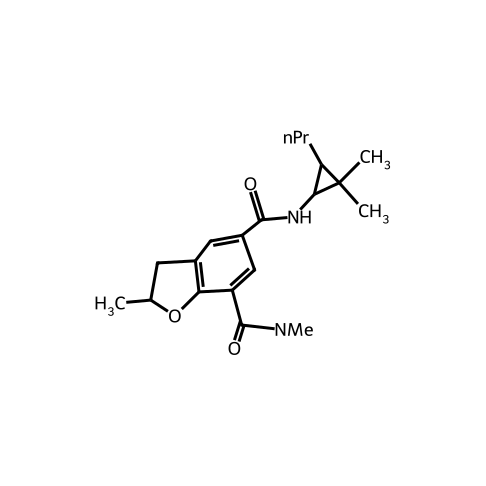 CCCC1C(NC(=O)c2cc3c(c(C(=O)NC)c2)OC(C)C3)C1(C)C